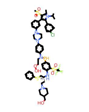 Cc1c(S(C)(=O)=O)c(-c2cccc(N3CCN(c4ccc(N(CCOO)Pc5ccc(N[C@H](CCN6CCC(CO)CC6)CSc6ccccc6)c(S(=O)(=O)C(F)(F)F)c5)cc4)CC3)c2)c(-c2ccc(Cl)cc2)n1C(C)C